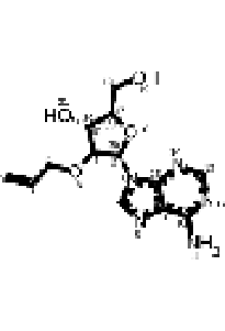 C=CCOC1[C@H](n2cnc3c(N)ncnc32)O[C@H](CO)[C@H]1O